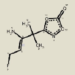 CC(C)(/C(N)=C/CF)c1noc(=O)o1